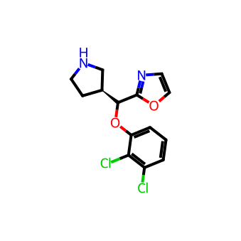 Clc1cccc(OC(c2ncco2)[C@H]2CCNC2)c1Cl